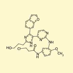 COc1ccc(NC(=O)CCCl)cc1Nc1nccc(-c2[nH]c(CCCO)nc2-c2ccc3ccoc3c2)n1